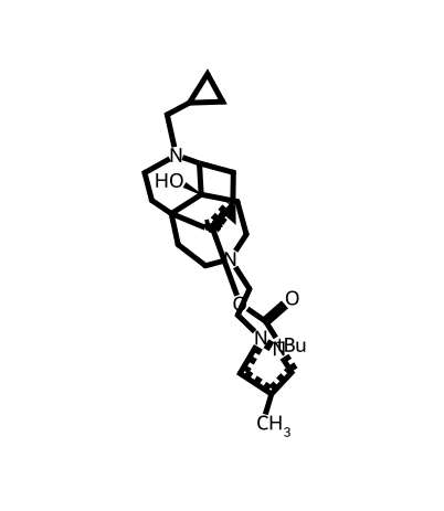 Cc1cnn(CCN2CCC34CCN(CC5CC5)C(Cc5ccc(OC(=O)C(C)(C)C)cc53)[C@]4(O)CC2)c1